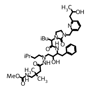 CCC(C)C(C(=O)NC(Cc1ccccc1)C(O)CN(CCC(C)C)NC(=O)CC(C)(C)CNC(=O)OC)N1CCN(Cc2cccc(CC(C)O)n2)C1=O